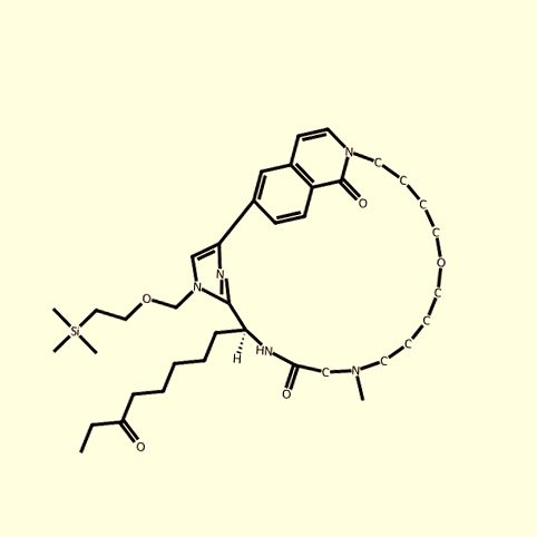 CCC(=O)CCCCC[C@@H]1NC(=O)CN(C)CCCCOCCCCn2ccc3cc(ccc3c2=O)-c2cn(COCC[Si](C)(C)C)c1n2